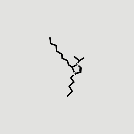 CCCCCCCCC1N(CCCCC)C=CN1C(C)C